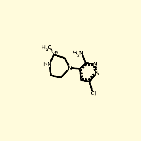 C[C@@H]1CN(c2cc(Cl)nnc2N)CCN1